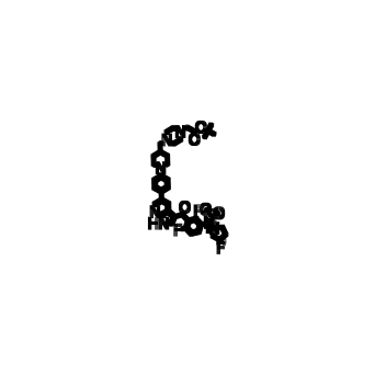 CC(C)(C)OC(=O)CN1CCN(CC2CCN(c3ccc(-c4cnc5[nH]cc(C(=O)c6c(F)ccc(N(N7CC[C@@H](F)C7)[SH](=O)=O)c6F)c5c4)cc3)CC2)CC1